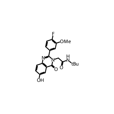 COc1cc(-c2nc3ccc(O)cc3c(=O)n2CC(=O)NC(C)(C)C)ccc1F